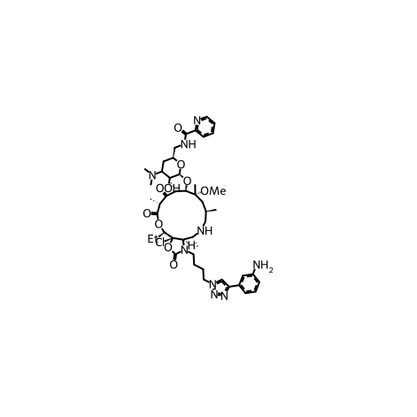 CC[C@H]1OC(=O)[C@H](C)C(=O)[C@H](C)[C@@H](O[C@@H]2O[C@H](CNC(=O)c3ccccn3)CC(N(C)C)C2O)[C@](C)(OC)C[C@@H](C)CN[C@H](C)[C@H]2N(CCCCn3cc(-c4cccc(N)c4)nn3)C(=O)O[C@]12Cl